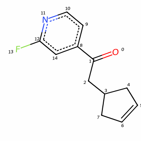 O=C(CC1CC=CC1)c1ccnc(F)c1